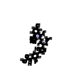 C=C/C(=C\C=C(/C)C(CC1CC1)c1ncc(-c2ccc(NC(=O)OC)c(F)c2)[nH]1)c1cc(Cl)ccc1-n1cnnn1